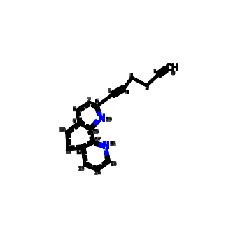 C#CCCC#Cc1ccc2ccc3cccnc3c2n1